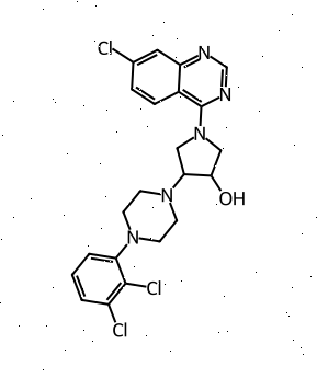 OC1CN(c2ncnc3cc(Cl)ccc23)CC1N1CCN(c2cccc(Cl)c2Cl)CC1